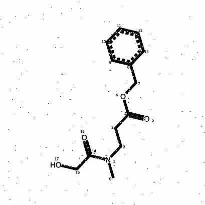 CN(CCC(=O)OCc1ccccc1)C(=O)CO